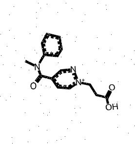 CN(C(=O)c1cc[n+](CCC(=O)O)nc1)c1ccccc1